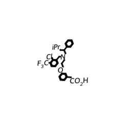 CC(C)CC(CN(CCCOc1cccc(CC(=O)O)c1)Cc1cccc(C(F)(F)F)c1Cl)c1ccccc1